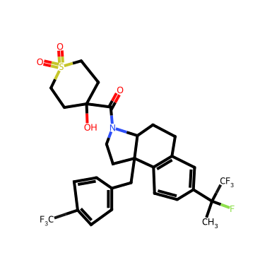 CC(F)(c1ccc2c(c1)CCC1N(C(=O)C3(O)CCS(=O)(=O)CC3)CCC21Cc1ccc(C(F)(F)F)cc1)C(F)(F)F